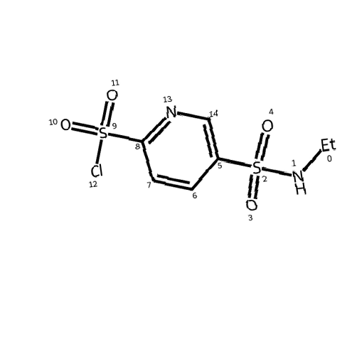 CCNS(=O)(=O)c1ccc(S(=O)(=O)Cl)nc1